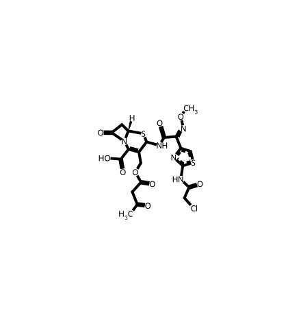 CO/N=C(\C(=O)NC1S[C@H]2CC(=O)N2C(C(=O)O)=C1COC(=O)CC(C)=O)c1csc(NC(=O)CCl)n1